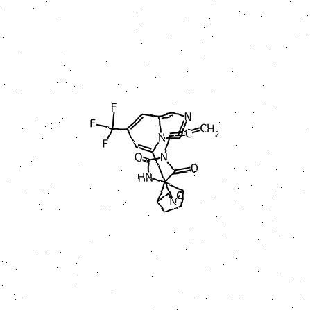 C=C=CN1C(=O)NC2(C1=O)C1CCC2CN(c2cc(C(F)(F)F)cc3cncn23)C1